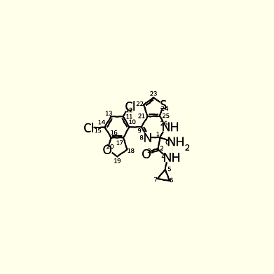 NC1(C(=O)NC2CC2)N=C(c2c(Cl)cc(Cl)c3c2CCO3)c2ccsc2N1